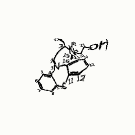 CC(CN1c2ccccc2Sc2ccccc21)[N+](C)(C)CCO